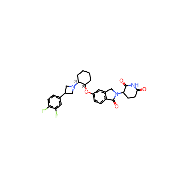 O=C1CCC(N2Cc3cc(O[C@@H]4CCCC[C@@H]4N4CC(c5ccc(F)c(F)c5)C4)ccc3C2=O)C(=O)N1